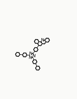 c1ccc(-c2ccc(-c3nc(-c4ccc(-c5ccccc5)cc4)nc(-c4ccc(-c5cc6cc7ccccc7nc6c6ccccc56)cc4)n3)cc2)cc1